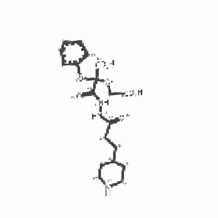 O=C(O)COC(Oc1ccccc1)(C(=O)O)C(=O)NNC(=O)CCC1CCNCC1